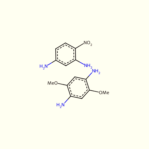 COc1cc(N)c(OC)cc1N.Nc1ccc([N+](=O)[O-])c(N)c1